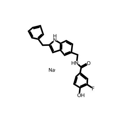 O=C(NCc1ccc2[nH]c(Cc3ccccc3)cc2c1)c1ccc(O)c(F)c1.[Na]